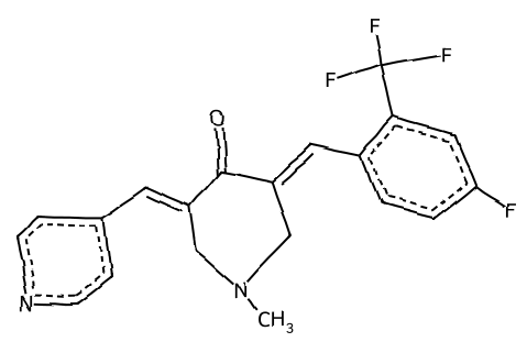 CN1C/C(=C\c2ccncc2)C(=O)/C(=C/c2ccc(F)cc2C(F)(F)F)C1